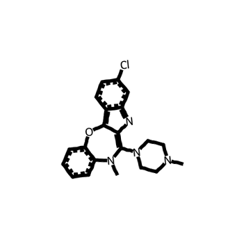 CN1CCN(C2=C3N=c4cc(Cl)ccc4=C3Oc3ccccc3N2C)CC1